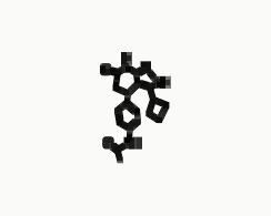 CC(=O)Nc1ccc(C2CC(=O)Nc3n[nH]c(C4CCC4)c32)cc1